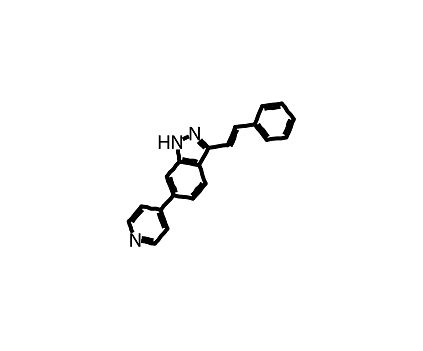 C(=Cc1n[nH]c2cc(-c3ccncc3)ccc12)c1ccccc1